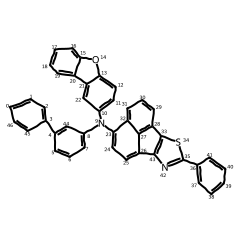 c1ccc(-c2cccc(N(c3ccc4oc5ccccc5c4c3)c3ccc4c5c(cccc35)-c3sc(-c5ccccc5)nc3-4)c2)cc1